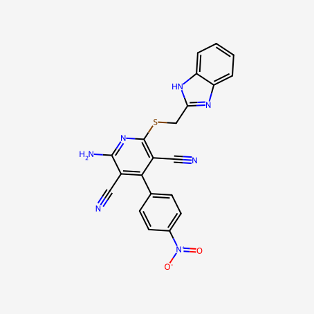 N#Cc1c(N)nc(SCc2nc3ccccc3[nH]2)c(C#N)c1-c1ccc([N+](=O)[O-])cc1